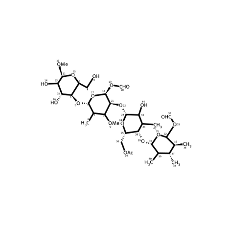 COC1C(C)[C@H](O[C@@H]2C(CO)O[C@H](OC)C(O)[C@H]2O)O[C@@H](OC=O)[C@H]1O[C@H]1O[C@@H](COC(C)=O)[C@@H](O[C@@H]2OC(OC=O)[C@@H](C)[C@H](C)C2C)C(C)C1O